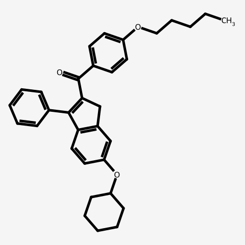 CCCCCOc1ccc(C(=O)C2=C(c3ccccc3)c3ccc(OC4CCCCC4)cc3C2)cc1